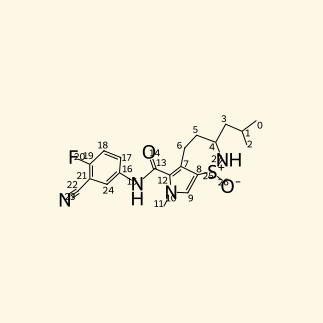 CC(C)CC1CCc2c(cn(C)c2C(=O)Nc2ccc(F)c(C#N)c2)[S+]([O-])N1